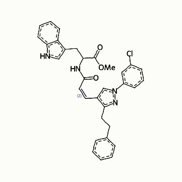 COC(=O)C(Cc1c[nH]c2ccccc12)NC(=O)/C=C\c1cn(-c2cccc(Cl)c2)nc1CCc1ccccc1